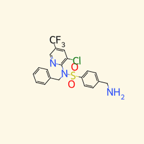 NCc1ccc(S(=O)(=O)N(Cc2ccccc2)c2ncc(C(F)(F)F)cc2Cl)cc1